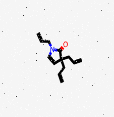 C=CCN1C=CC(CC=C)(CC=C)C1=O